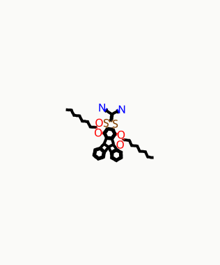 CCCCCCCC(=O)Oc1c2c(c(OC(=O)CCCCCCC)c3c1C1c4ccccc4C14c1ccccc1C34)SC(=C(C#N)C#N)S2